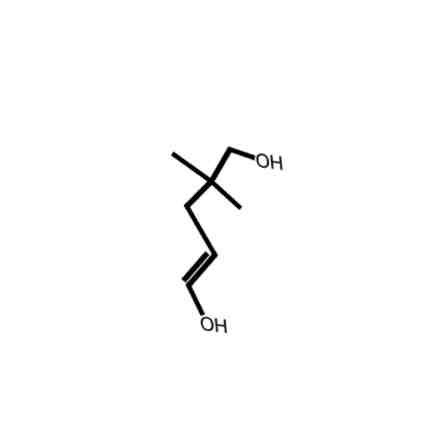 CC(C)(CO)CC=CO